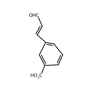 O=C/C=C/c1cccc(C(=O)O)c1